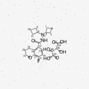 O=C(NN(C1CCC1)C1CCC1)c1ccc(F)c2c1CCCO2.O=C(O)C(O)C(O)C(=O)O